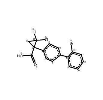 O=C(O)C1(c2ccc(-c3ccccc3Br)cc2)CC1(Cl)Cl